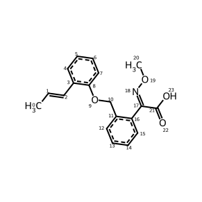 CC=Cc1ccccc1OCc1ccccc1C(=NOC)C(=O)O